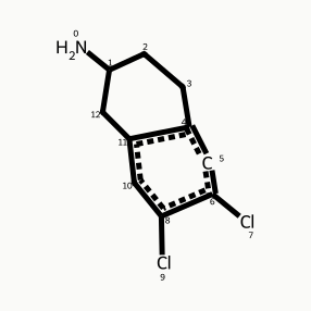 NC1CCc2cc(Cl)c(Cl)cc2C1